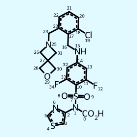 O=C(O)N(c1cscn1)S(=O)(=O)c1c(F)cc(NCc2c(Cl)cccc2CN2CC3(COC3)C2)cc1F